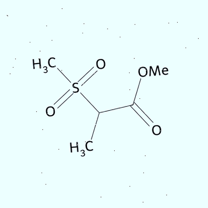 COC(=O)C(C)S(C)(=O)=O